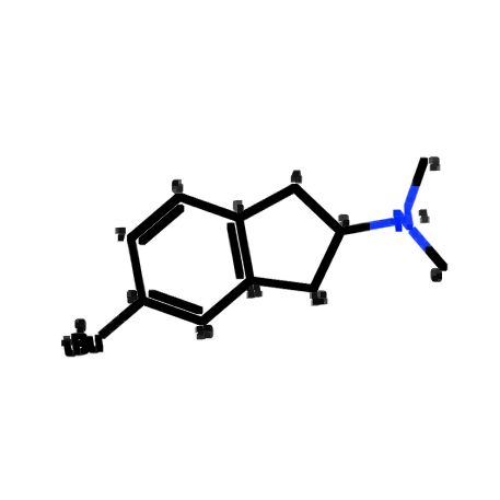 CN(C)C1Cc2ccc(C(C)(C)C)cc2C1